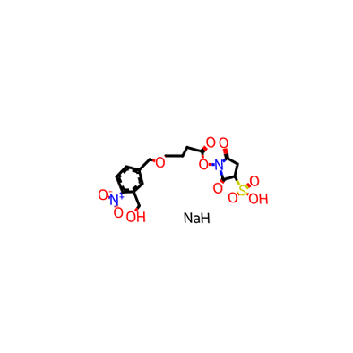 O=C(CCCOCc1ccc([N+](=O)[O-])c(CO)c1)ON1C(=O)CC(S(=O)(=O)O)C1=O.[NaH]